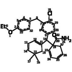 CCOc1ccc(Cc2cc(C(C3=CC=CC(C)(C)C3)C3(C(N)=O)C=CC=CC3)ccc2Cl)cc1